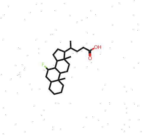 CC(CCC(=O)O)C1CCC2C3C(F)CC4CCCCC4(C)C3CCC12C